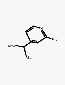 CCCCCCC(CCCC)c1ccnc(N)c1